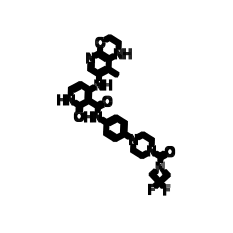 Cc1c(Nc2cc[nH]c(=O)c2C(=O)Nc2ccc(N3CCN(C(=O)N4CC(F)(F)C4)CC3)cc2)cnc2c1NCCO2